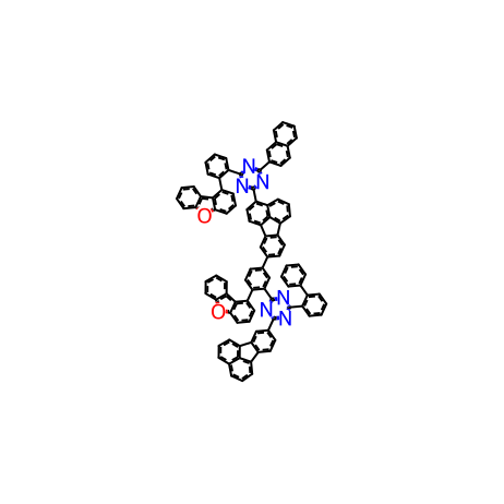 c1ccc(-c2ccccc2-c2nc(-c3ccc4c(c3)-c3cccc5cccc-4c35)nc(-c3cc(-c4ccc5c(c4)-c4ccc(-c6nc(-c7ccc8ccccc8c7)nc(-c7ccccc7-c7cccc8oc9ccccc9c78)n6)c6cccc-5c46)ccc3-c3cccc4oc5ccccc5c34)n2)cc1